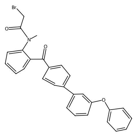 CN(C(=O)CBr)c1ccccc1C(=O)c1ccc(-c2cccc(Oc3ccccc3)c2)cc1